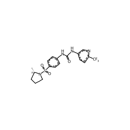 C[C@H]1CCCN1S(=O)(=O)c1ccc(NC(=O)Nc2ccc(C(F)(F)F)nc2)cc1